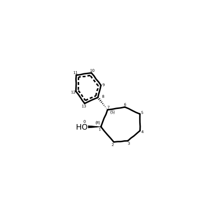 O[C@@H]1CCCCC[C@H]1c1ccccc1